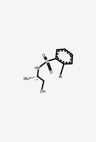 CC(C)(C)[C@@H](CO)NS(=O)(=O)c1ccccc1Br